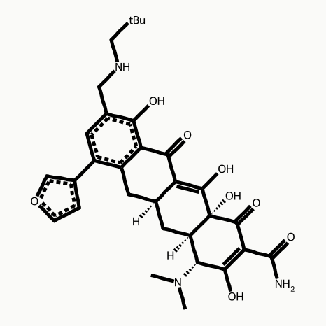 CN(C)[C@H]1C(O)=C(C(N)=O)C(=O)[C@]2(O)C(O)=C3C(=O)c4c(O)c(CNCC(C)(C)C)cc(-c5ccoc5)c4C[C@@H]3C[C@H]12